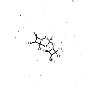 CC1(C)C(N)C(=O)N1OS(=O)(=O)ON1C(=O)C(N)C1(C)C